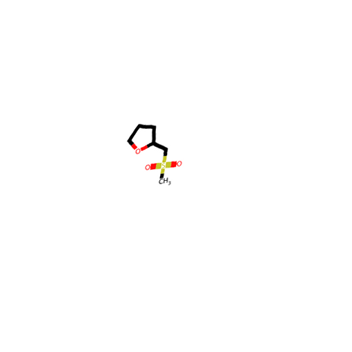 CS(=O)(=O)CC1CCCO1